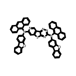 c1ccc2c(N(c3ccc4c(c3)oc3ccccc34)c3cc4sc5nc(N(c6ccc7c(c6)oc6ccccc67)c6c7ccccc7cc7ccccc67)nnc5c4cn3)c3ccccc3cc2c1